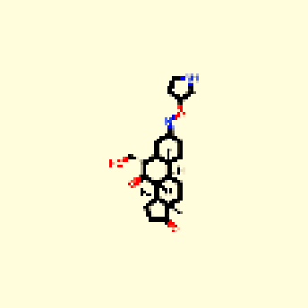 C[C@]12CCC(=NOC3CCNC3)CC1[C@@H](CO)C(=O)[C@@H]1[C@@H]2CC[C@]2(C)C(=O)CC[C@@H]12